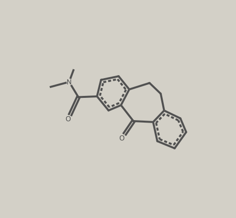 CN(C)C(=O)c1ccc2c(c1)C(=O)c1ccccc1CC2